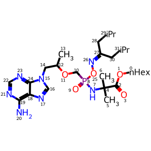 CCCCCCOC(=O)C(C)(C)NP(=O)(COC(C)Cn1cnc2c(N)ncnc21)ON=C(CC(C)C)CC(C)C